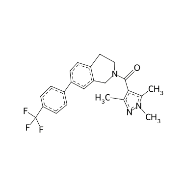 Cc1nn(C)c(C)c1C(=O)N1CCc2ccc(-c3ccc(C(F)(F)F)cc3)cc2C1